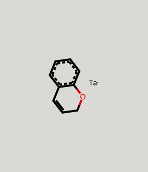 C1=Cc2ccccc2OC1.[Ta]